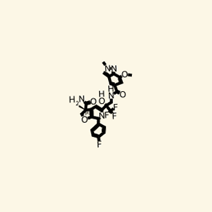 COc1cc(C(=O)NCC(O)(c2cc3c(c(-c4ccc(F)cc4)n2)OC[C@]3(C)C(N)=O)C(F)(F)F)cc2cn(C)nc12